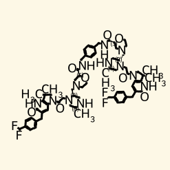 C[C@@H]1CN(CC(=O)N2CC(C)(C)c3[nH]c(=O)c(Cc4ccc(C(F)F)cc4)cc32)[C@@H](CN2CCO[C@H](C(=O)NCc3ccc(CNC(=O)[C@@H]4CN(C[C@H]5CN[C@H](C)CN5CC(=O)N5CC(C)(C)c6[nH]c(=O)c(Cc7ccc(C(F)F)cc7)cc65)CCO4)cc3)C2)CN1